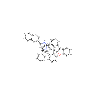 c1ccc(-c2cc(-c3ccc4ccccc4c3)nc(-c3cccc4c3C3(c5ccccc5-c5ccccc53)c3oc5ccccc5c3-4)n2)cc1